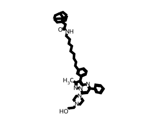 Cc1nn2c(N3CCN(CCO)CC3)cc(-c3ccccc3)nc2c1-c1cccc(CCCCCCCCCNC(=O)CC23CC4CC(CC(C4)C2)C3)c1